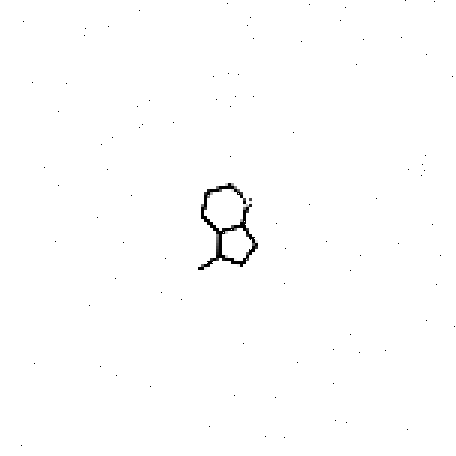 CC1CCC2OCCCC12